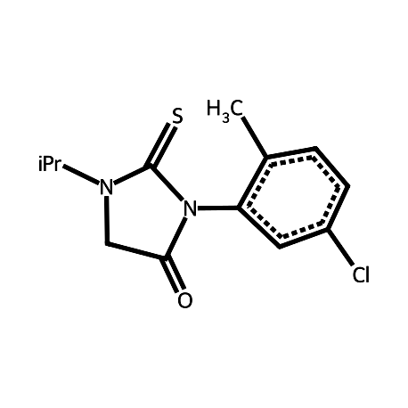 Cc1ccc(Cl)cc1N1C(=O)CN(C(C)C)C1=S